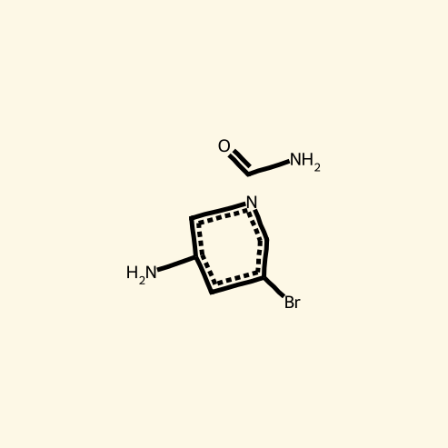 NC=O.Nc1cncc(Br)c1